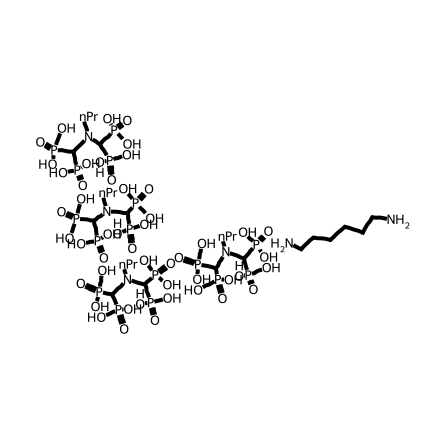 CCCN(C(P(=O)(O)O)P(=O)(O)O)C(P(=O)(O)O)P(=O)(O)O.CCCN(C(P(=O)(O)O)P(=O)(O)O)C(P(=O)(O)O)P(=O)(O)O.CCCN(C(P(=O)(O)O)P(=O)(O)O)C(P(=O)(O)O)P(=O)(O)O.CCCN(C(P(=O)(O)O)P(=O)(O)O)C(P(=O)(O)O)P(=O)(O)O.NCCCCCCN